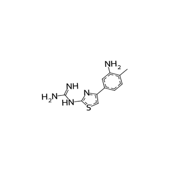 Cc1ccc(-c2csc(NC(=N)N)n2)cc1N